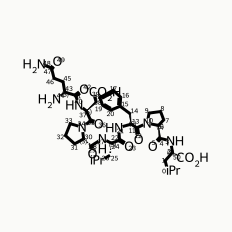 CC(C)C[C@H](NC(=O)[C@@H]1CCCN1C(=O)[C@H](Cc1ccccc1)NC(=O)[C@H](CC(C)C)NC(=O)[C@@H]1CCCN1C(=O)[C@H](CC(=O)O)NC(=O)[C@@H](N)CCC(N)=O)C(=O)O